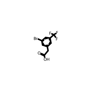 O=C(O)Cc1cc(Br)cc(C(F)(F)F)c1